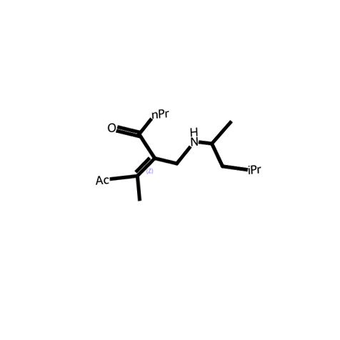 CCCC(=O)/C(CNC(C)CC(C)C)=C(/C)C(C)=O